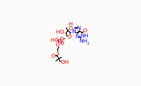 CC(C)(CO)C(=O)SCCOP(=O)(O)OC[C@H]1O[C@@H](n2cnc3c(=O)[nH]c(N)nc32)C(C)(O)[C@H]1O